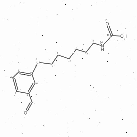 O=Cc1cccc(OCCCCCCNC(=O)O)c1